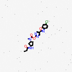 CCC(=O)N[C@H]1CC[C@@H](N(C)C(=O)Oc2ncc(-c3nc4ccc(Cl)cc4o3)cn2)C1